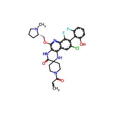 C=CC(=O)N1CCC2(CC1)Nc1c(c(OC[C@@H]3CCCN3C)nc3c(F)c(-c4c(O)cccc4F)c(Cl)cc13)NC2=O